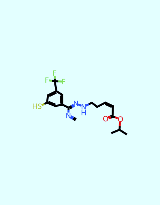 C=N/C(=N\NCC/C=C\C(=O)OC(C)C)c1cc(S)cc(C(F)(F)F)c1